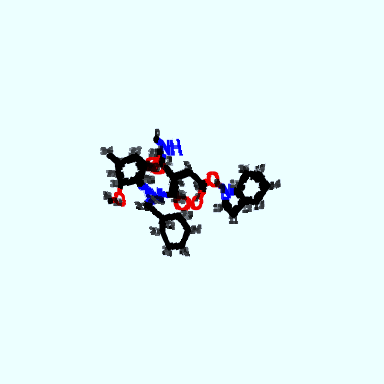 CNC(=O)C(CC(=O)On1ccc2ccccc21)C(=O)N(CC1CCCCC1)c1c(OC)cc(C)cc1OC